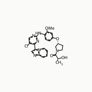 COc1cc(O[C@@H]2CCN(C(=O)[C@H](C)O)C2)ccc1Nc1ncc(Cl)c(-c2cnc3ccccn23)n1